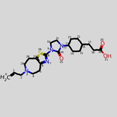 C=CCN1CCc2nc(N3CCN(C4CCC(CCC(=O)O)CC4)C3=O)sc2CC1